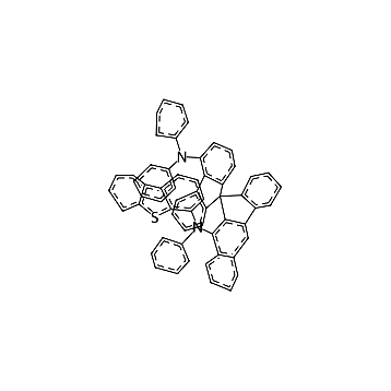 c1ccc(N(c2ccccc2)c2cccc3c2-c2ccccc2C32c3ccccc3-c3cc4ccccc4c(N(c4ccccc4)c4cccc5c4sc4ccccc45)c32)cc1